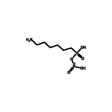 NCCCCCCP(=O)(O)O[PH](=O)O